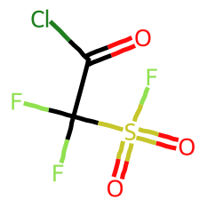 O=C(Cl)C(F)(F)S(=O)(=O)F